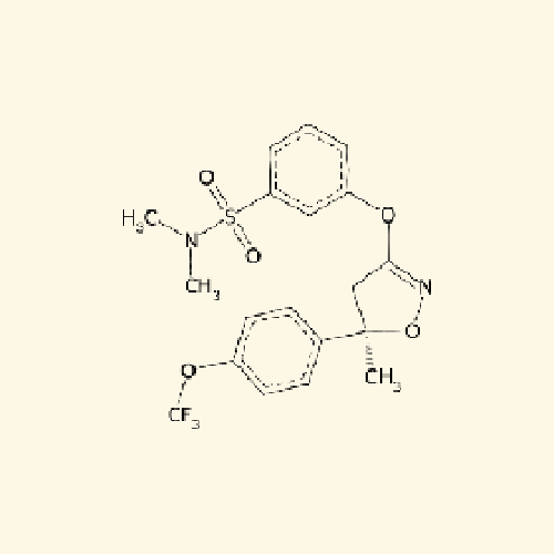 CN(C)S(=O)(=O)c1cccc(OC2=NO[C@@](C)(c3ccc(OC(F)(F)F)cc3)C2)c1